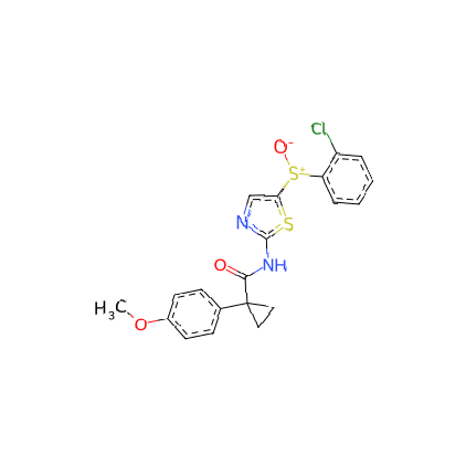 COc1ccc(C2(C(=O)Nc3ncc([S+]([O-])c4ccccc4Cl)s3)CC2)cc1